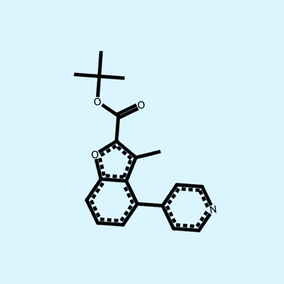 Cc1c(C(=O)OC(C)(C)C)oc2cccc(-c3ccncc3)c12